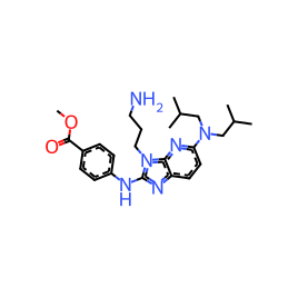 COC(=O)c1ccc(Nc2nc3ccc(N(CC(C)C)CC(C)C)nc3n2CCCN)cc1